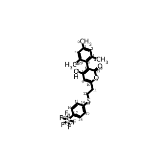 Cc1cc(C)c(-c2c(O)cc(CCSc3ccc(S(F)(F)(F)(F)F)cc3)oc2=O)c(C)c1